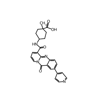 CC1(C(=O)O)CCC(NC(=O)c2cccn3c(=O)c4cc(-c5ccncc5)ccc4nc23)CC1